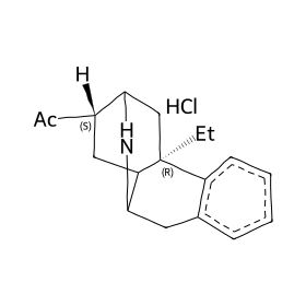 CC[C@]12CC3NC(Cc4ccccc41)C2C[C@@H]3C(C)=O.Cl